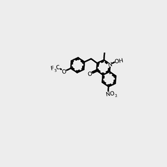 Cc1c(Cc2ccc(OC(F)(F)F)cc2)c(=O)c2cc([N+](=O)[O-])ccc2n1O